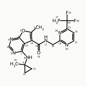 Cc1oc2ncnc(NC3(C)CC3)c2c1C(=O)NCc1nccc(C(F)(F)P)n1